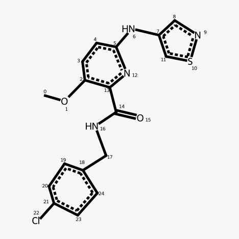 COc1ccc(Nc2cnsc2)nc1C(=O)NCc1ccc(Cl)cc1